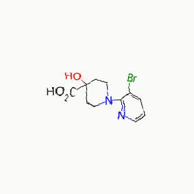 O=C(O)C1(O)CCN(c2ncccc2Br)CC1